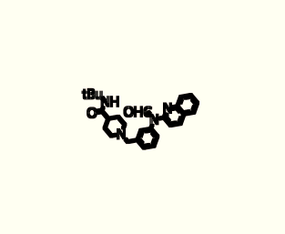 CC(C)(C)NC(=O)C1CCN(Cc2cccc(N(C=O)c3ccc4ccccc4n3)c2)CC1